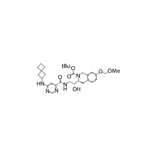 COCOc1ccc2c(c1)CN(C(=O)OC(C)(C)C)[C@H]([C@H](O)CNC(=O)c1cc(NC3CC4(CCC4)C3)ncn1)C2